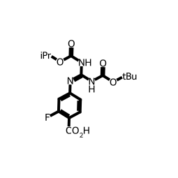 CC(C)OC(=O)NC(=Nc1ccc(C(=O)O)c(F)c1)NC(=O)OC(C)(C)C